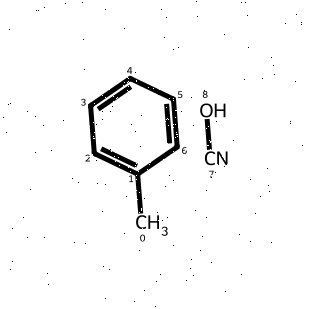 Cc1ccccc1.N#CO